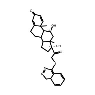 CC12C=CC(=O)C=C1CCC1C2[C@@H](O)CC2(C)C1CC[C@]2(O)C(=O)CSC1=C2C=CC=CC2CN=N1